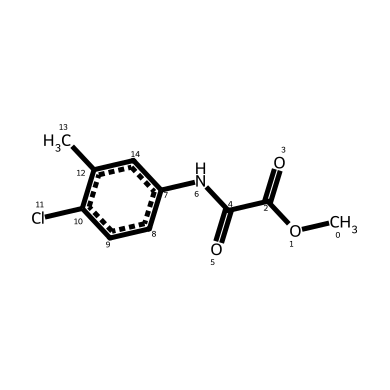 COC(=O)C(=O)Nc1ccc(Cl)c(C)c1